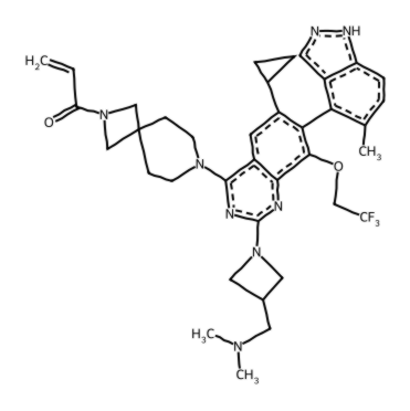 C=CC(=O)N1CC2(CCN(c3nc(N4CC(CN(C)C)C4)nc4c(OCC(F)(F)F)c(-c5c(C)ccc6[nH]ncc56)c(C5CC5)cc34)CC2)C1